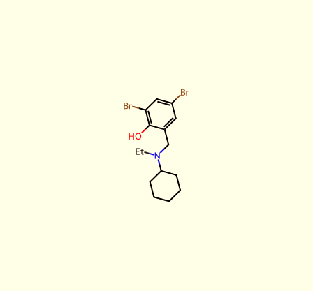 CCN(Cc1cc(Br)cc(Br)c1O)C1CCCCC1